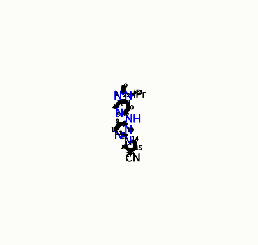 Cc1nc2cnc(Nc3ccnc(N4CC[C@@H](C#N)C4)n3)cc2n1C(C)C